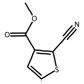 COC(=O)c1c[c]sc1C#N